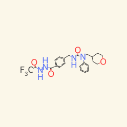 O=C(NNC(=O)C(F)(F)F)c1ccc(CNC(=O)N(CC2CCOCC2)c2ccccc2)cc1